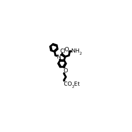 CCOC(=O)CCCOc1ccc2c(c1)c(CC(N)=O)c(Cl)n2Cc1ccccc1